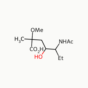 CCC(NC(C)=O)C(O)CC(C)(OC)C(=O)O